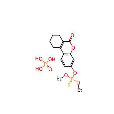 CCOP(=S)(OCC)Oc1ccc2c3c(c(=O)oc2c1)CCCC3.O=P(O)(O)O